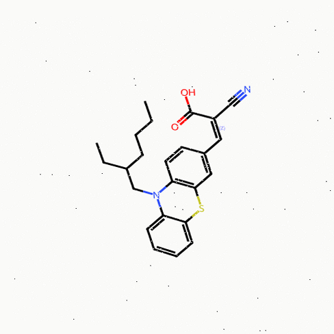 CCCCC(CC)CN1c2ccccc2Sc2cc(/C=C(/C#N)C(=O)O)ccc21